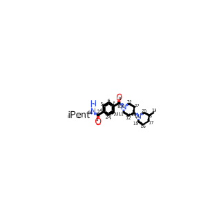 CCCC(C)NC(=O)c1ccc(C(=O)N2CCC(N3CCCC(C)C3)CC2)cc1